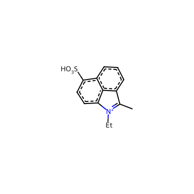 CC[N+]1=C(C)c2cccc3c(S(=O)(=O)O)ccc1c23